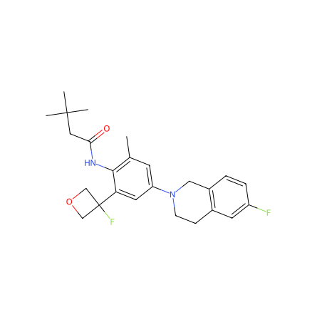 Cc1cc(N2CCc3cc(F)ccc3C2)cc(C2(F)COC2)c1NC(=O)CC(C)(C)C